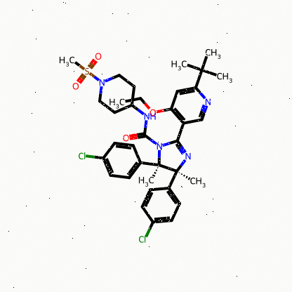 CCOc1cc(C(C)(C)C)ncc1C1=N[C@@](C)(c2ccc(Cl)cc2)[C@@](C)(c2ccc(Cl)cc2)N1C(=O)NC1CCN(S(C)(=O)=O)CC1